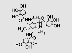 CCc1c(CNC(=O)c2ccc(O)c(O)c2O)c(CC)c(CNC(=O)c2ccc(O)c(O)c2O)c(CC)c1CNC(=O)c1ccc(O)c(O)c1O